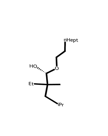 CCCCCCCCCO[C@@H](O)C(C)(CC)CC(C)C